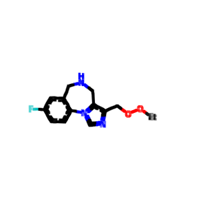 CCOOCc1ncn2c1CNCc1cc(F)ccc1-2